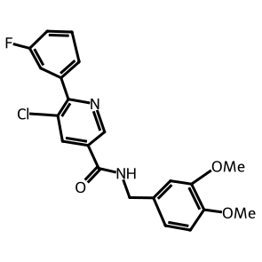 COc1ccc(CNC(=O)c2cnc(-c3cccc(F)c3)c(Cl)c2)cc1OC